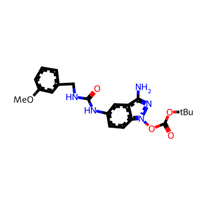 COc1cccc(CNC(=O)Nc2ccc3c(c2)c(N)nn3OC(=O)OC(C)(C)C)c1